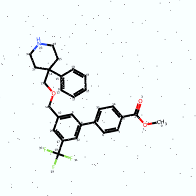 COC(=O)c1ccc(-c2cc(COCC3(c4ccccc4)CCNCC3)cc(C(F)(F)F)c2)cc1